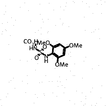 COc1cc(OC)c(NS(=O)(=O)NC(=O)O)c(OC)c1